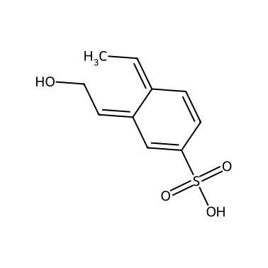 C/C=c1/ccc(S(=O)(=O)O)c/c1=C/CO